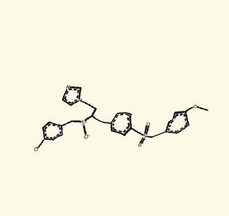 COc1ccc(CS(=O)(=O)c2ccc(C(Cn3ccnc3)[S+]([O-])Cc3ccc(Cl)cc3)cc2)cc1